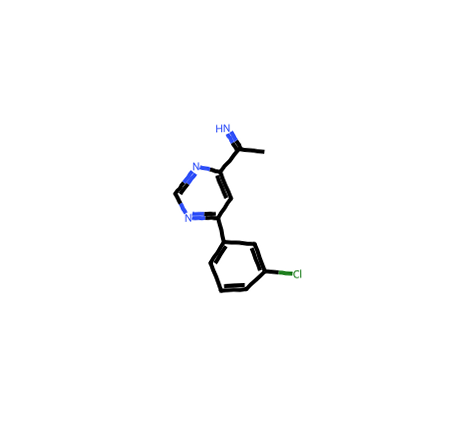 CC(=N)c1cc(-c2cccc(Cl)c2)ncn1